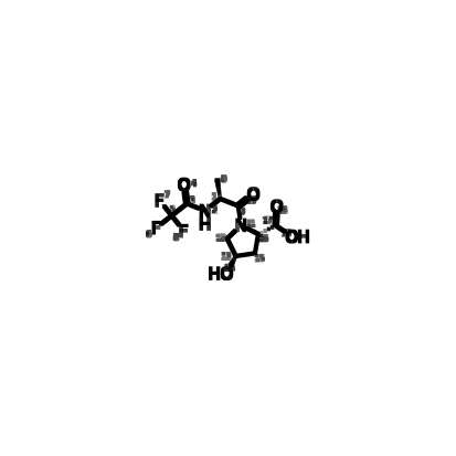 C[C@H](NC(=O)C(F)(F)F)C(=O)N1C[C@H](O)C[C@H]1C(=O)O